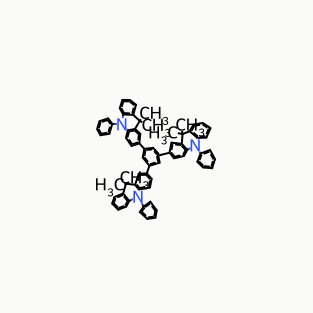 CC1(C)c2ccccc2N(c2ccccc2)c2ccc(-c3cc(-c4ccc5c(c4)C(C)(C)c4ccccc4N5c4ccccc4)cc(-c4ccc5c(c4)C(C)(C)c4ccccc4N5c4ccccc4)c3)cc21